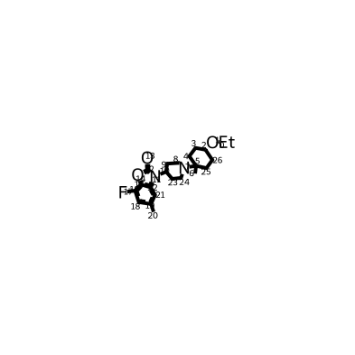 CCOC1CCC(C)(N2CCC(n3c(=O)oc4c(F)cc(C)cc43)CC2)CC1